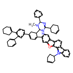 CN1C(c2ccccc2)N=C(C2CC=CCC2)NC1C1CC(c2ccc(C3=CCCCC3)c(C3=CCCC=C3)c2)=CC=C1c1ccc2c(c1)oc1c2ccc2c3ccccc3n(C3CC=CCC3)c21